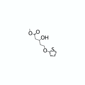 COC(=O)CC(O)CCOc1cccs1